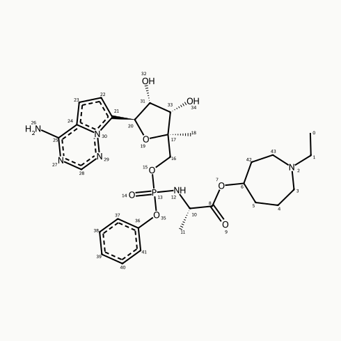 CCN1CCCC(OC(=O)[C@H](C)NP(=O)(OC[C@@]2(C)O[C@@H](c3ccc4c(N)ncnn34)[C@H](O)[C@@H]2O)Oc2ccccc2)CC1